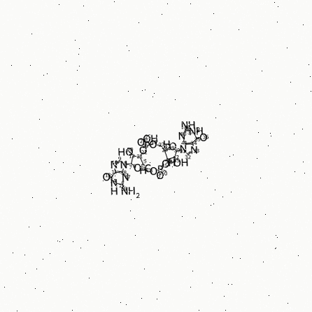 CP1(=O)OC[C@H]2O[C@@H](n3cnc4c(=O)[nH]c(N)nc43)[C@@H](O)C2OP(=O)(O)OC[C@H]2O[C@@H](n3cnc4c(=O)[nH]c(N)nc43)C(O)[C@H]2O1